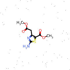 COC(=O)Cc1nc(N)sc1C(=O)OC